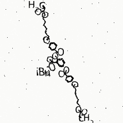 C=CC(=O)OCCCCCCOc1ccc(C(=O)Oc2ccc(OC(=O)c3ccc(OCCCCCCOC(=O)C=C)cc3)c(C(=O)OC[C@@H](C)CC)c2)cc1